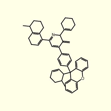 C=C1C(c2ccc(C3(C4C=CCCC4C)c4ccccc4Oc4ccccc43)cc2)=CC(C2=CCCC3=C2CCCC3C)=NC1C1=CCCCC1